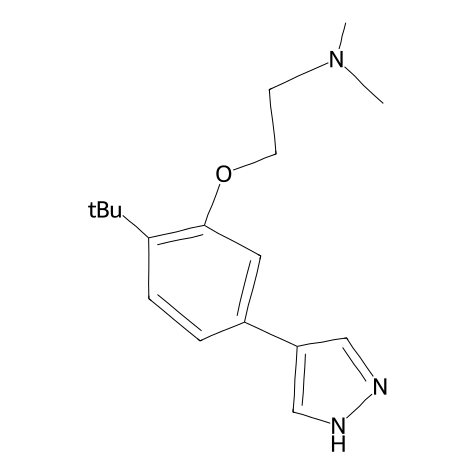 CN(C)CCOc1cc(-c2cn[nH]c2)ccc1C(C)(C)C